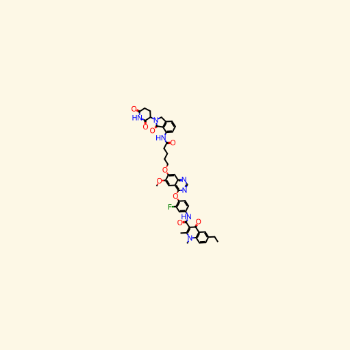 CCc1ccc2c(c1)c(=O)c(C(=O)Nc1ccc(Oc3ncnc4cc(OCCCCC(=O)Nc5cccc6c5C(=O)N(C5CCC(=O)NC5=O)C6)c(OC)cc34)c(F)c1)c(C)n2C